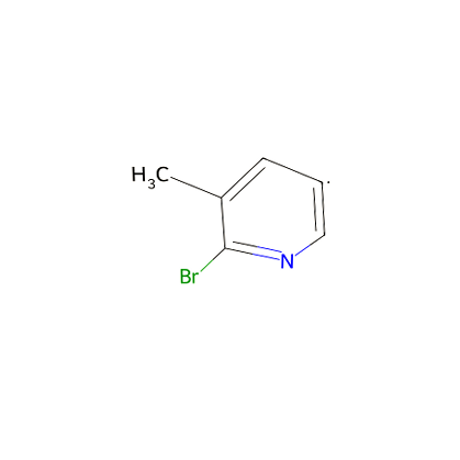 Cc1c[c]cnc1Br